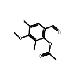 COc1c(I)cc(C=O)c(OC(C)=O)c1C